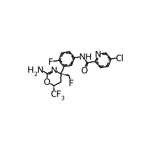 NC1=N[C@](CF)(c2cc(NC(=O)c3ccc(Cl)cn3)ccc2F)C[C@@H](C(F)(F)F)O1